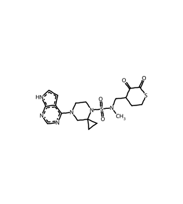 CN(CC1CCSC(=O)C1=O)S(=O)(=O)N1CCN(c2ncnc3[nH]ccc23)CC12CC2